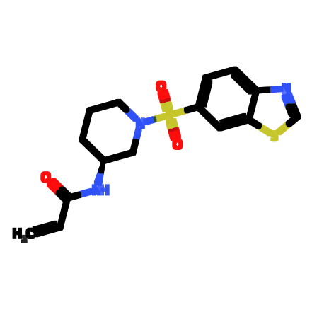 C=CC(=O)N[C@H]1CCCN(S(=O)(=O)c2ccc3ncsc3c2)C1